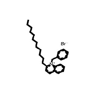 CCCCCCCCCCCCc1ccc2ccccc2[n+]1Cc1ccccc1.[Br-]